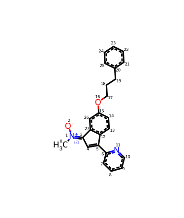 C/[N+]([O-])=C1\C=C(c2ccccn2)c2ccc(OCCCc3ccccc3)cc21